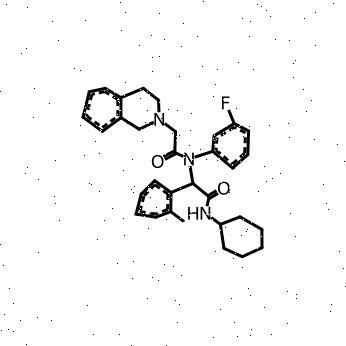 Cc1ccccc1C(C(=O)NC1CCCCC1)N(C(=O)CN1CCc2ccccc2C1)c1cccc(F)c1